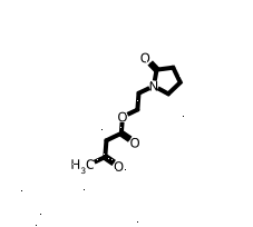 CC(=O)CC(=O)OCCN1CCCC1=O